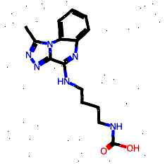 Cc1nnc2c(NCCCCNC(=O)O)nc3ccccc3n12